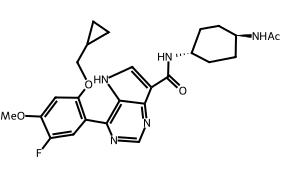 COc1cc(OCC2CC2)c(-c2ncnc3c(C(=O)N[C@H]4CC[C@H](NC(C)=O)CC4)c[nH]c23)cc1F